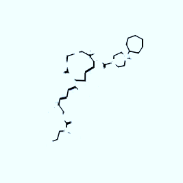 CCCN(C)C(=O)OC[C@@H](C)/C=C/C=C(\C)[C@H]1OC(=O)C[C@@H](O)CC[C@](C)(O)[C@@H](OC(=O)N2CC[N+]([O-])(C3CCCCCC3)CC2)/C=C/[C@@H]1C